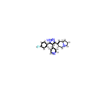 Fc1ccc(-c2[nH]nc(C3=CC4CCCN4CC3)c2-c2ccncc2)cc1